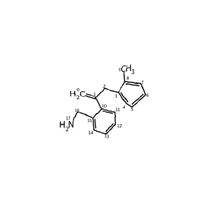 C=C(Cc1ccccc1C)c1ccccc1CN